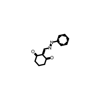 O=C1CCCC(=O)C1=CN=Nc1ccccc1